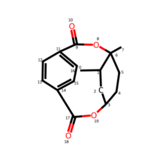 CC1CC2CCC1(C)OC(=O)c1ccc(cc1)C(=O)O2